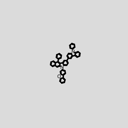 c1ccc(-c2c3ccccc3cc3c2c2cc(-c4ccc5c(c4)c4ccccc4n5-c4ccccc4)ccc2n3-c2ccc3c(c2)oc2ccccc23)cc1